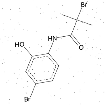 CC(C)(Br)C(=O)Nc1ccc(Br)cc1O